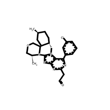 C[C@@H]1COCCN1c1nc2nc(CC=O)nc(-c3cccc(Cl)c3)c2n1C[C@H]1CC[C@H](C)CC1